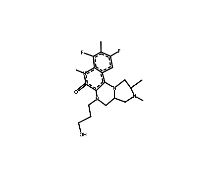 Cc1c(F)cc2c3c(c(=O)n(C)c2c1F)N(CCCO)CC1CN(C)C(C)CN31